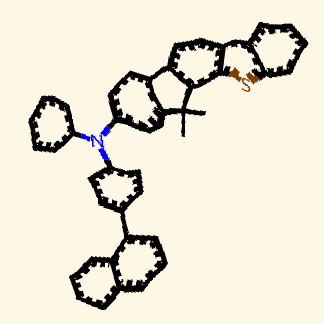 CC1(C)c2cc(N(c3ccccc3)c3ccc(-c4cccc5ccccc45)cc3)ccc2-c2ccc3c(sc4ccccc43)c21